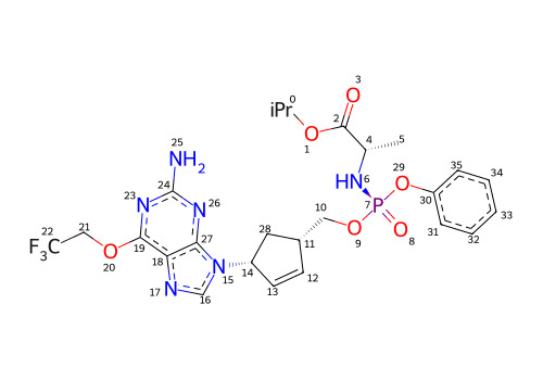 CC(C)OC(=O)[C@H](C)N[P@@](=O)(OC[C@@H]1C=C[C@H](n2cnc3c(OCC(F)(F)F)nc(N)nc32)C1)Oc1ccccc1